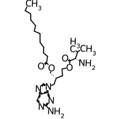 CCCCCCCCCCCC(=O)OC[C@H](CCOC(=O)[C@@H](N)C(C)C)Cn1cnc2cnc(N)nc21